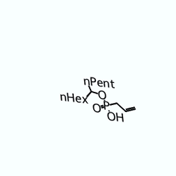 C=CCP(=O)(O)OC(CCCCC)CCCCCC